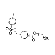 Cc1ccc(S(=O)(=O)OCC2CCN(C(=O)OC(C)(C)CC(C)(C)C)CC2)cc1